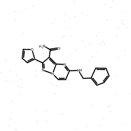 NC(=O)c1c(-c2ccco2)nn2ccc(NCc3ccccc3)nc12